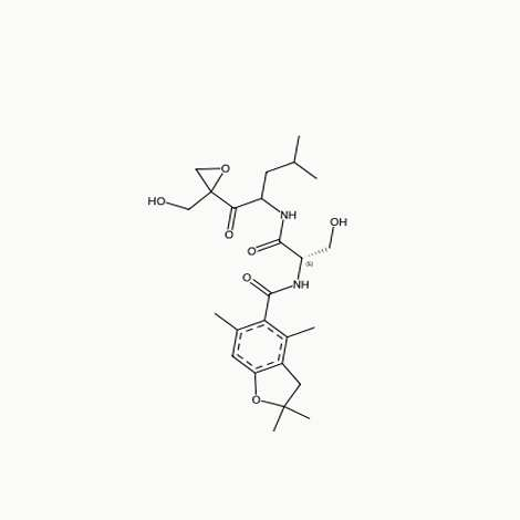 Cc1cc2c(c(C)c1C(=O)N[C@@H](CO)C(=O)NC(CC(C)C)C(=O)C1(CO)CO1)CC(C)(C)O2